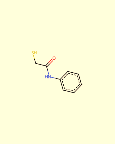 O=C(CS)Nc1cc[c]cc1